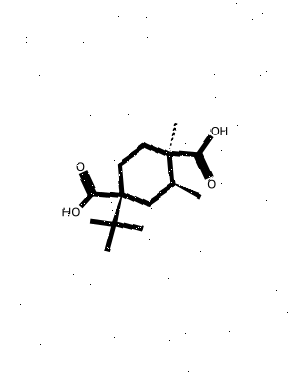 C[C@H]1C[C@@](C(=O)O)(C(C)(C)C)CC[C@@]1(C)C(=O)O